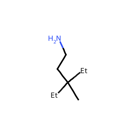 CCC(C)(CC)CCN